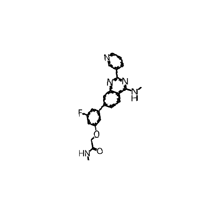 CNC(=O)COc1cc(F)cc(-c2ccc3c(NC)nc(-c4cccnc4)nc3c2)c1